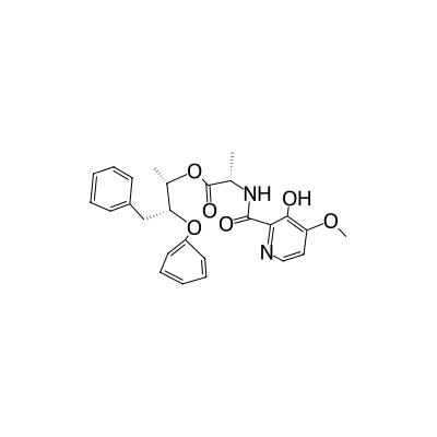 COc1ccnc(C(=O)N[C@@H](C)C(=O)O[C@@H](C)[C@@H](Cc2ccccc2)Oc2ccccc2)c1O